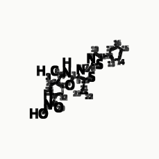 C[C@H](NC(=O)c1nc(-c2ncc(-c3ccccc3)s2)sc1C1CC1)c1ccc(C(=O)NO)cc1